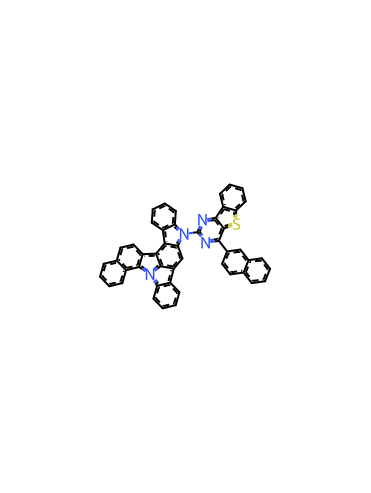 c1ccc2cc(-c3nc(-n4c5ccccc5c5c6c7ccc8ccccc8c7n7c8ccccc8c(cc54)c67)nc4c3sc3ccccc34)ccc2c1